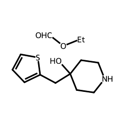 CCOC=O.OC1(Cc2cccs2)CCNCC1